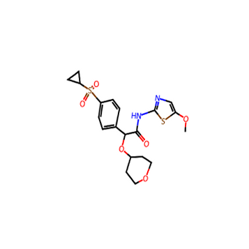 COc1cnc(NC(=O)C(OC2CCOCC2)c2ccc(S(=O)(=O)C3CC3)cc2)s1